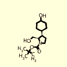 CC(C)(C)OC(=O)N1CC[C@H](C2CCC(O)CC2)[C@@H]1CO